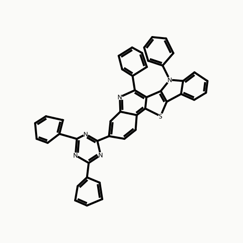 c1ccc(-c2nc(-c3ccccc3)nc(-c3ccc4c(c3)nc(-c3ccccc3)c3c4sc4c5ccccc5n(-c5ccccc5)c43)n2)cc1